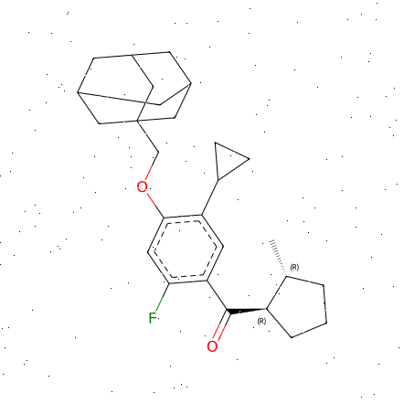 C[C@@H]1CCC[C@H]1C(=O)c1cc(C2CC2)c(OCC23CC4CC(CC(C4)C2)C3)cc1F